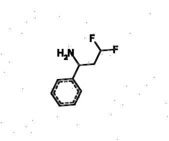 NC(CC(F)F)c1ccccc1